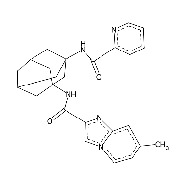 Cc1ccn2cc(C(=O)NC34CC5CC(CC(NC(=O)c6ccccn6)(C5)C3)C4)nc2c1